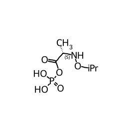 CC(C)ON[C@@H](C)C(=O)OP(=O)(O)O